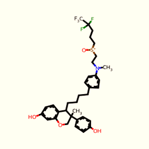 CN(CC[S+]([O-])CCCC(F)(F)C(F)(F)F)c1ccc(CCCCC2c3ccc(O)cc3OCC2(C)c2ccc(O)cc2)cc1